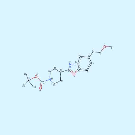 COCCc1ccc2oc(C3CCN(C(=O)OC(C)(C)C)CC3)nc2c1